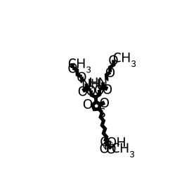 COCCOCCNC(=O)OCC(COC(=O)NCOCCOC)C1C(=O)CC(SCCCCCCOP(=O)(O)OC)C1=O